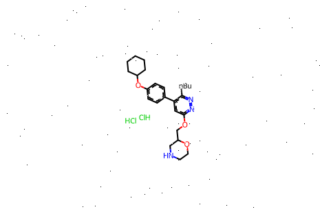 CCCCc1nnc(OCC2CNCCO2)cc1-c1ccc(OC2CCCCC2)cc1.Cl.Cl